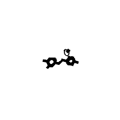 COc1cc(C)ccc1CCc1ccc(C)c(C)c1